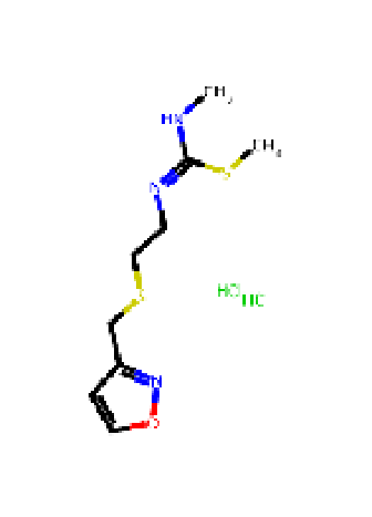 CN/C(=N/CCSCc1ccon1)SC.Cl.Cl